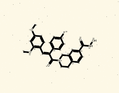 COc1ccc(C=C(C(=O)N2CCc3ccc(C(=O)NO)cc3C2)c2ccc(F)cc2)c(OC)c1